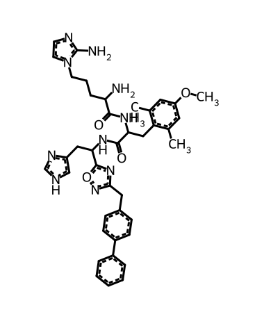 COc1cc(C)c(CC(NC(=O)C(N)CCCn2ccnc2N)C(=O)NC(Cc2c[nH]cn2)c2nc(Cc3ccc(-c4ccccc4)cc3)no2)c(C)c1